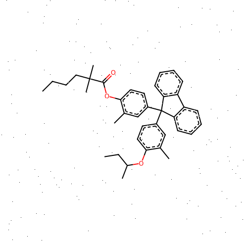 CCCCC(C)(C)C(=O)Oc1ccc(C2(c3ccc(OC(C)CC)c(C)c3)c3ccccc3-c3ccccc32)cc1C